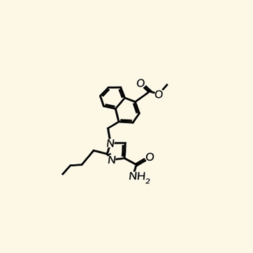 CCCCc1nc(C(N)=O)cn1Cc1ccc(C(=O)OC)c2ccccc12